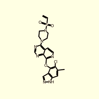 C=CS(=O)(=O)N1CCN(c2ncnc3c(Oc4c(Cl)c(C)cc5[nH]ncc45)nccc23)CC1